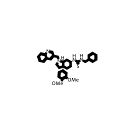 COc1ccc([C@@]23CC[C@@H](NC(=S)NCc4ccccc4)C[C@@H]2N(Cc2cnc4ccccc4c2)CC3)cc1OC